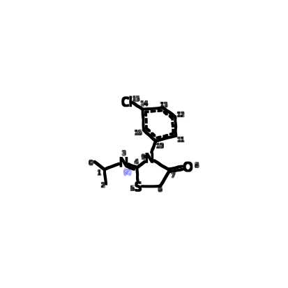 CC(C)/N=C1\SCC(=O)N1c1cccc(Cl)c1